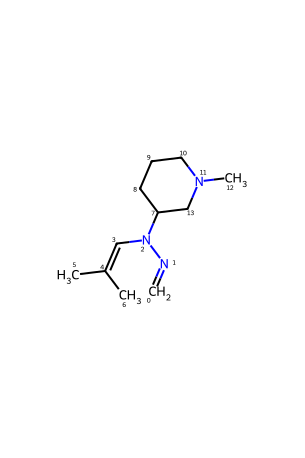 C=NN(C=C(C)C)C1CCCN(C)C1